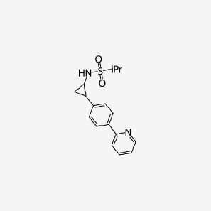 CC(C)S(=O)(=O)NC1CC1c1ccc(-c2ccccn2)cc1